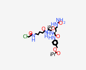 CC(C)C(=O)OCc1ccc(NC(=O)[C@H](CCCNC(N)=O)NC(=O)C(NC(=O)CCCCNC(=O)CCl)C(C)C)cc1